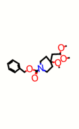 COC(CC1(OC)CCN(C(=O)OCc2ccccc2)CC1)OC